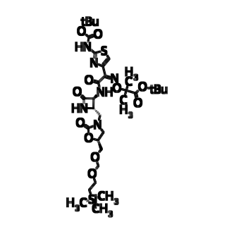 CC(C)(C)OC(=O)Nc1nc(C(=NOC(C)(C)C(=O)OC(C)(C)C)C(=O)N[C@@H]2C(=O)N[C@H]2CN2C[C@@H](COCOCC[Si](C)(C)C)OC2=O)cs1